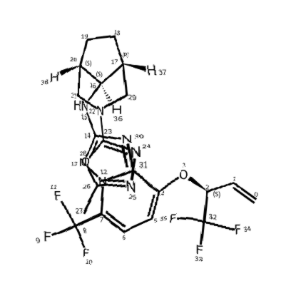 C=C[C@H](Oc1ccc(C(F)(F)F)n2nc(N[C@@H]3[C@@H]4CC[C@H]3CN(c3nnc(C)o3)C4)nc12)C(F)(F)F